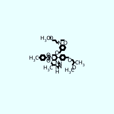 COCCCN1CCOc2ccc(CO[C@H]3CN(S(=O)(=O)c4ccc(C)cc4)[C@@H](C[C@@H](C)c4nnn[nH]4)C[C@@H]3c3ccc(COC[C@@H](C)COC)cc3)cc21